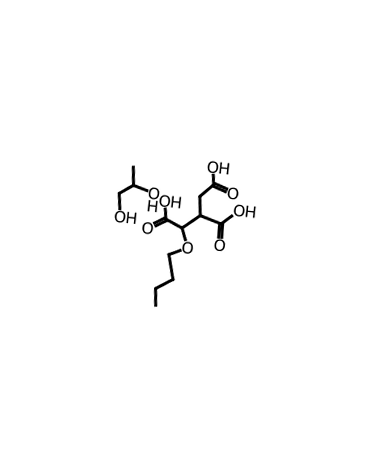 CC(O)CO.CCCCOC(C(=O)O)C(CC(=O)O)C(=O)O